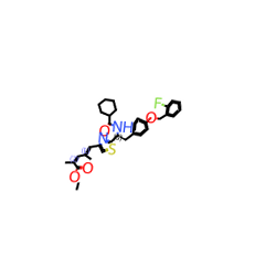 CCOC(=O)/C(C)=C\C(C)=C\c1csc([C@H](Cc2ccc(OCc3ccccc3F)cc2)NC(=O)C2CCCCC2)n1